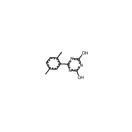 Cc1ccc(C)c(-c2nc(O)nc(O)n2)c1